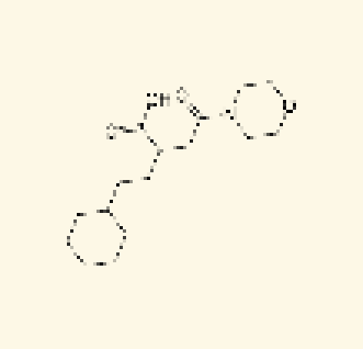 O=C(O)C(CCC1CCCCC1)CC(=O)N1CCOCC1